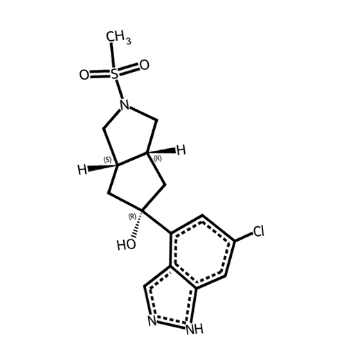 CS(=O)(=O)N1C[C@@H]2C[C@@](O)(c3cc(Cl)cc4[nH]ncc34)C[C@@H]2C1